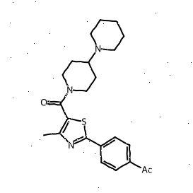 CC(=O)c1ccc(-c2nc(C)c(C(=O)N3CCC(N4CCCCC4)CC3)s2)cc1